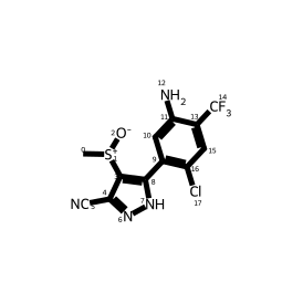 C[S+]([O-])c1c(C#N)n[nH]c1-c1cc(N)c(C(F)(F)F)cc1Cl